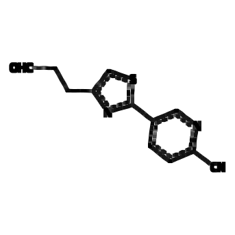 N#Cc1ccc(-c2nc(CCC=O)cs2)cn1